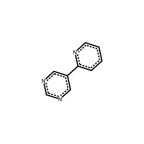 [c]1ncc(-c2ccccn2)cn1